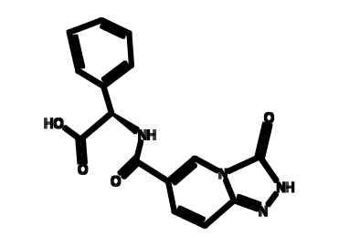 O=C(N[C@@H](C(=O)O)c1ccccc1)c1ccc2n[nH]c(=O)n2c1